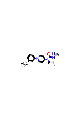 Cc1cccc(N2CCC(N(C)C(=O)NC(C)C)CC2)c1